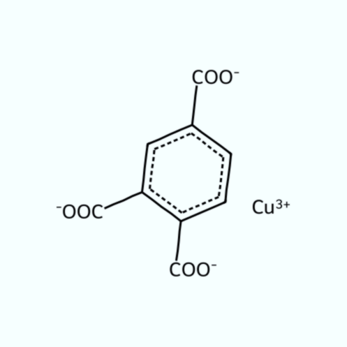 O=C([O-])c1ccc(C(=O)[O-])c(C(=O)[O-])c1.[Cu+3]